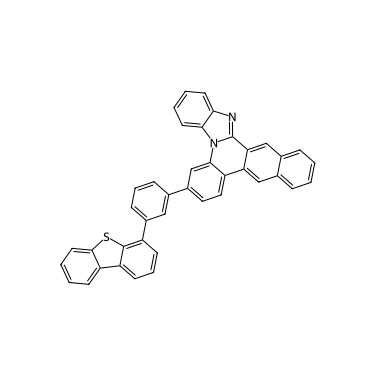 c1cc(-c2ccc3c4cc5ccccc5cc4c4nc5ccccc5n4c3c2)cc(-c2cccc3c2sc2ccccc23)c1